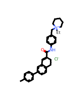 CC[N+]1(Cc2ccc(NC(=O)C3=Cc4cc(-c5ccc(C)cc5)ccc4CC3)cc2)CCCCC1.[Cl-]